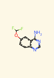 Nc1ncnc2ccc(OC(F)F)cc12